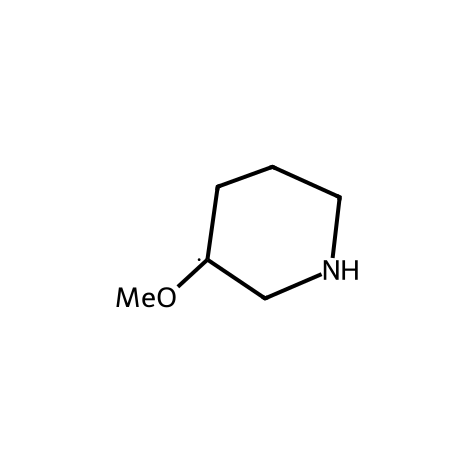 CO[C]1CCCNC1